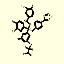 O=C(N[C@@](Cc1ccc(-c2nn[nH]n2)cc1)(c1cc(F)cc(OC(F)(F)C(F)F)c1)c1ccc(F)c(C(F)(F)F)c1)c1ccc(F)c(C(F)(F)F)c1